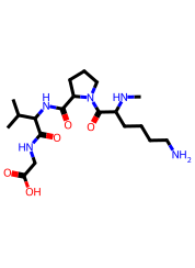 CNC(CCCCN)C(=O)N1CCCC1C(=O)NC(C(=O)NCC(=O)O)C(C)C